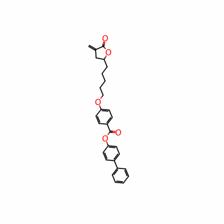 C=C1CC(CCCCCOc2ccc(C(=O)Oc3ccc(-c4ccccc4)cc3)cc2)OC1=O